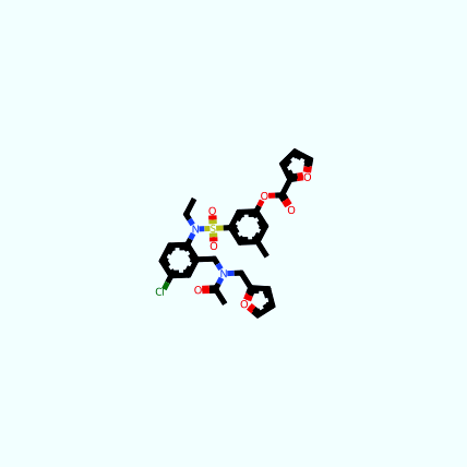 CCN(c1ccc(Cl)cc1CN(Cc1ccco1)C(C)=O)S(=O)(=O)c1cc(C)cc(OC(=O)c2ccco2)c1